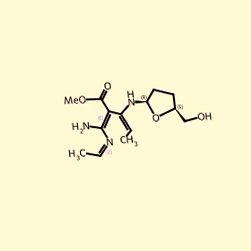 CC=C(N[C@H]1CC[C@@H](CO)O1)/C(C(=O)OC)=C(N)\N=C/C